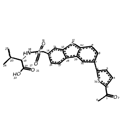 CC(=O)c1ccc(-c2ccc3sc4cc(S(=O)(=O)N[C@H](C(=O)O)C(C)C)ccc4c3c2)s1